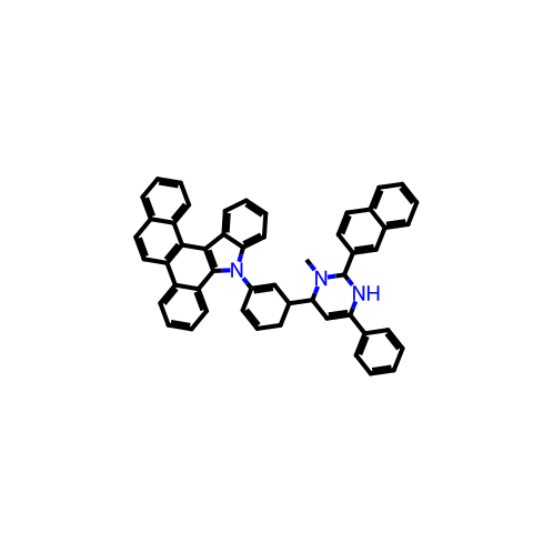 CN1C(c2ccc3ccccc3c2)NC(c2ccccc2)=CC1C1C=C(n2c3ccccc3c3c4c5ccccc5ccc4c4ccccc4c32)C=CC1